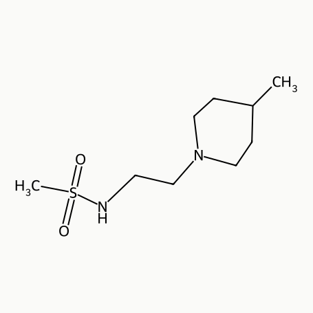 CC1CCN(CCNS(C)(=O)=O)CC1